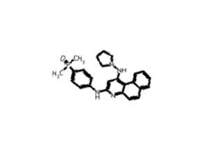 CP(C)(=O)c1ccc(Nc2cc(NN3CCCC3)c3c(ccc4ccccc43)n2)cc1